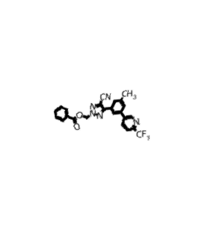 Cc1cc(-c2ccc(C(F)(F)F)nc2)cc(-c2nn(COC(=O)c3ccccc3)nc2C#N)c1